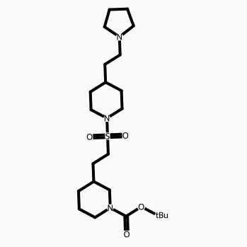 CC(C)(C)OC(=O)N1CCCC(CCS(=O)(=O)N2CCC(CCN3CCCC3)CC2)C1